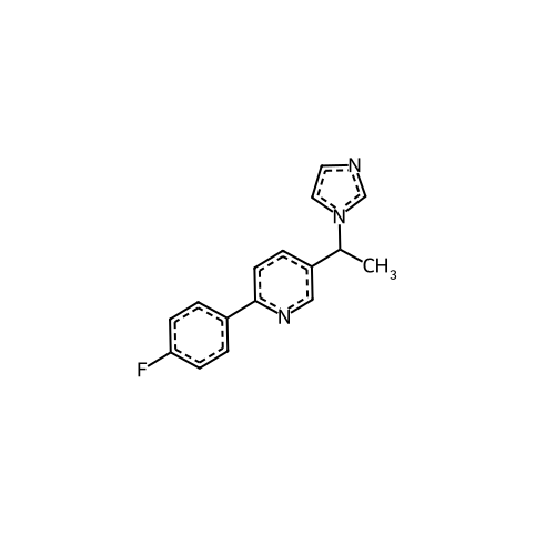 CC(c1ccc(-c2ccc(F)cc2)nc1)n1ccnc1